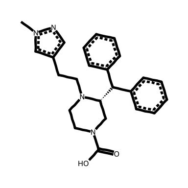 Cn1cc(CCN2CCN(C(=O)O)C[C@H]2C(c2ccccc2)c2ccccc2)cn1